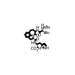 CC[C@H](C)[C@H](NC(C)(C)C)C(=O)NC1CCc2cccc3c2N(C1=O)[C@H](C(=O)N[C@@H](CC(=O)O)Cc1cc[nH]n1)C3